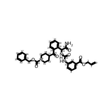 C=CCOC(=O)c1cccc(NC(=O)NC(C(N)=O)c2ccccc2C(=O)C2CCN(C(=O)OCc3ccccc3)CC2)c1